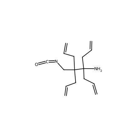 C=CCC(N)(CC=C)C(CC=C)(CC=C)CN=C=O